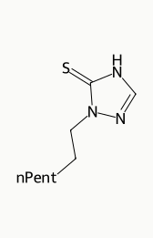 CCCCCCCn1nc[nH]c1=S